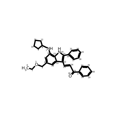 CCOCc1cc(NC2CCCC2)c2[nH]c(-c3ccccc3)c(/C=C/C(=O)c3ccccc3)c2c1